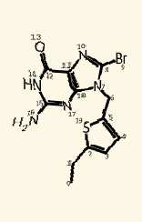 CCc1ccc(Cn2c(Br)nc3c(=O)[nH]c(N)nc32)s1